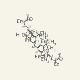 CCC(CCCOc1c(C(C)(C)CC)cc(Cc2cc(C(C)(C)CC)c(OCCCC(CC)C3CO3)c(C(C)(C)CC)c2)cc1C(C)(C)CC)C1CO1